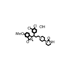 COc1ccc2c(c1)C(=O)N(C)C2C(CCN1CCC(N2CCCNC2=O)CC1)c1ccc(Cl)c(Cl)c1.Cl